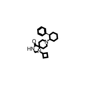 O=C1NCN(C2CCC2)C12CCN([C@@H]1CCCC[C@@H]1c1ccccc1)CC2